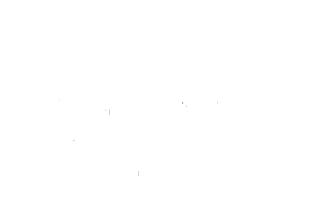 O=S(=O)(c1ccccc1)n1cc(-c2nc(Cl)ncc2C(F)(F)F)c2ccc(Br)cc21